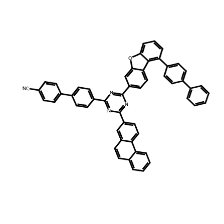 N#Cc1ccc(-c2ccc(-c3nc(-c4ccc5c(ccc6ccccc65)c4)nc(-c4ccc5c(c4)oc4cccc(-c6ccc(-c7ccccc7)cc6)c45)n3)cc2)cc1